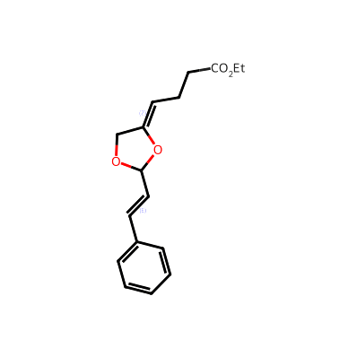 CCOC(=O)CC/C=C1/COC(/C=C/c2ccccc2)O1